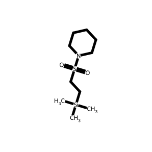 C[Si](C)(C)CCS(=O)(=O)N1CCCCC1